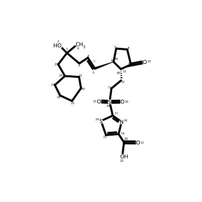 CC(O)(C/C=C/[C@H]1CCC(=O)[C@@H]1CCS(=O)(=O)c1nc(C(=O)O)cs1)CC1CCCCC1